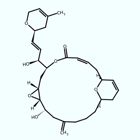 C=C1CCC[C@@H]2CC=C[C@@H](C/C=C\C(=O)O[C@H]([C@@H](O)/C=C/[C@@H]3CC(C)=CCO3)C[C@H]3O[C@H]3[C@@H](O)C1)O2